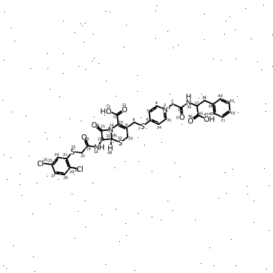 O=C(C[n+]1ccc(SCC2=C(C(=O)O)N3C(=O)[C@H](NC(=O)CSc4cc(Cl)ccc4Cl)[C@H]3SC2)cc1)NC(Cc1ccccc1)C(=O)O